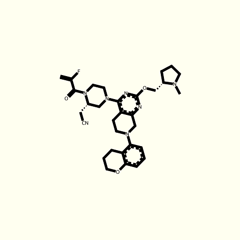 C=C(F)C(=O)N1CCN(c2nc(OC[C@@H]3CCCN3C)nc3c2CCN(c2cccc4c2CCCO4)C3)C[C@@H]1CC#N